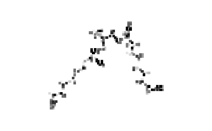 C=C(COC(=O)CCCCCCCBr)COC(=O)NCCCCCCCCCCCCCCC